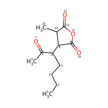 CCCCC(C(C)=O)C1C(=O)OC(=O)C1C